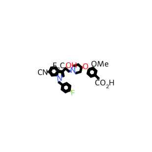 [C-]#[N+]c1ccc2c(C(O)(CN3CCC(Oc4ccc(CC(=O)O)cc4OC)CC3)C(F)(F)F)cn(Cc3ccc(F)cc3)c2c1